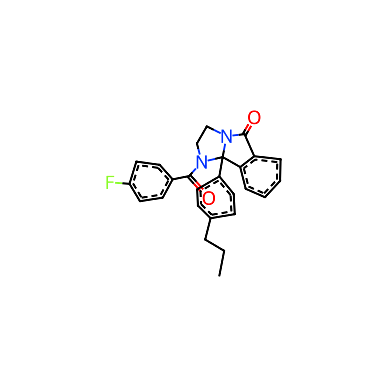 CCCc1ccc(C23c4ccccc4C(=O)N2CCN3C(=O)c2ccc(F)cc2)cc1